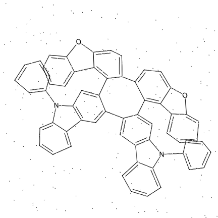 c1ccc(-n2c3ccccc3c3cc4c(cc32)-c2c(ccc3oc5ccccc5c23)-c2ccc3oc5ccccc5c3c2-c2cc3c(cc2-4)c2ccccc2n3-c2ccccc2)cc1